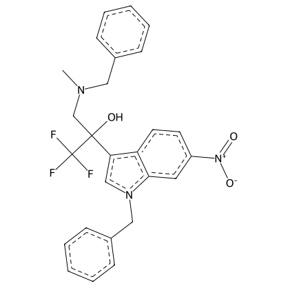 CN(Cc1ccccc1)CC(O)(c1cn(Cc2ccccc2)c2cc([N+](=O)[O-])ccc12)C(F)(F)F